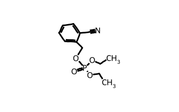 CCOP(=O)(OCC)OCc1ccccc1C#N